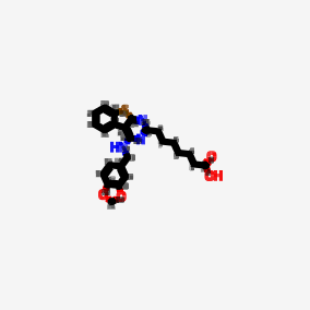 O=C(O)CCCCCCc1nc(NCc2ccc3c(c2)OCO3)c2c(n1)sc1ccccc12